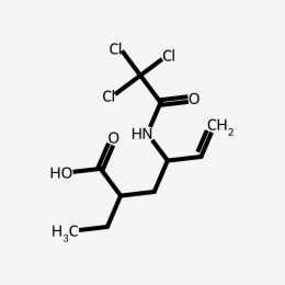 C=CC(CC(CC)C(=O)O)NC(=O)C(Cl)(Cl)Cl